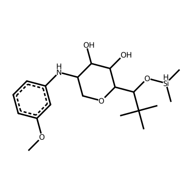 COc1cccc(NC2COC(C(O[SiH](C)C)C(C)(C)C)C(O)C2O)c1